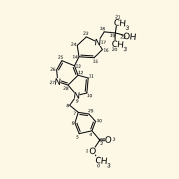 COC(=O)c1ccc(Cn2ccc3c(C4=CCN(CC(C)(C)O)CC4)ccnc32)cc1